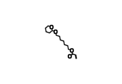 C=CC(=O)OCCCCCCCOC1CCCCO1